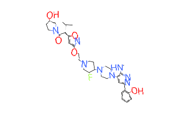 CNc1nnc(-c2ccccc2O)cc1N1CCN(C2CCN(CCOc3cc([C@H](C(=O)N4CC[C@@H](O)C4)C(C)C)on3)CC2F)CC1